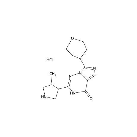 CC1CNCC1c1nn2c(C3CCOCC3)ncc2c(=O)[nH]1.Cl